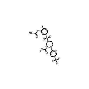 COC(=O)[C@H]1CN(S(=O)(=O)c2ccc(C)c(CC(=O)O)c2)CCN1c1ccc(C(F)(F)F)cn1